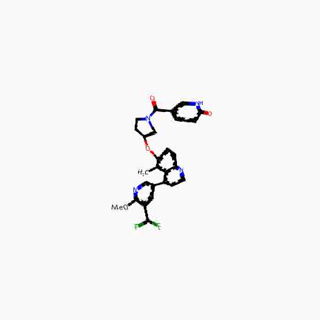 COc1ncc(-c2ccnc3ccc(OC4CCN(C(=O)c5ccc(=O)[nH]c5)C4)c(C)c23)cc1C(F)F